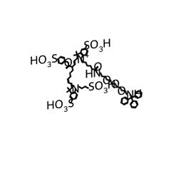 C=C(Oc1ccc(S(=O)(=O)O)cc1)C(/C=C/C1=[N+](CCCCCC(=O)NCCCOCCOCCOCCNC(c2ccccc2)(c2ccccc2)c2ccccc2)c2ccc(S(=O)(=O)O)cc2C1(C)C)CCC/C=C\C=C1\N(CCCCS(=O)(=O)O)c2ccc(S(=O)(=O)O)cc2C1(C)C